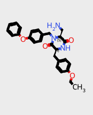 CCOc1ccc(C[C@@H]2NC(=O)[C@H](CN)N(Cc3ccc(Oc4ccccc4)cc3)C2=O)cc1